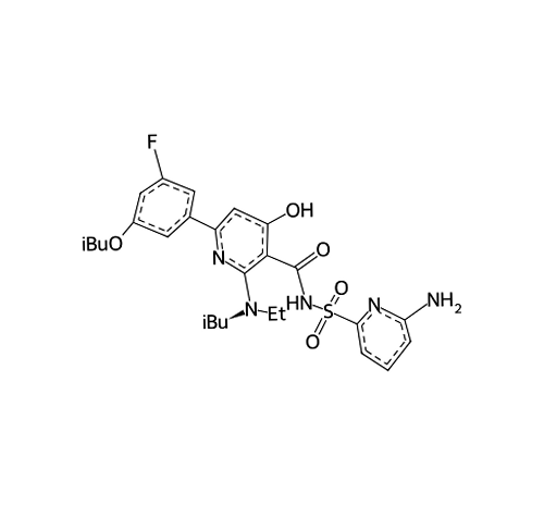 CC[C@H](C)N(CC)c1nc(-c2cc(F)cc(OCC(C)C)c2)cc(O)c1C(=O)NS(=O)(=O)c1cccc(N)n1